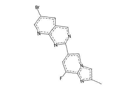 Cc1cn2cc(-c3ncc4cc(Br)cnc4n3)cc(F)c2n1